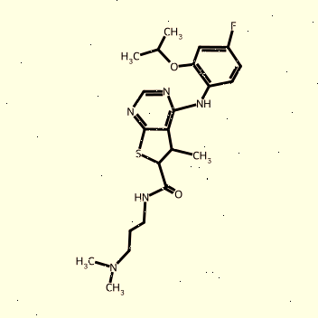 CC(C)Oc1cc(F)ccc1Nc1ncnc2c1C(C)C(C(=O)NCCCN(C)C)S2